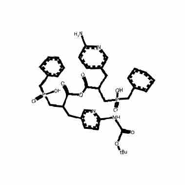 CC(C)(C)OC(=O)Nc1ccc(CC(CP(=O)(O)Cc2ccccc2)C(=O)OC(=O)C(Cc2ccc(N)nc2)CP(=O)(O)Cc2ccccc2)cn1